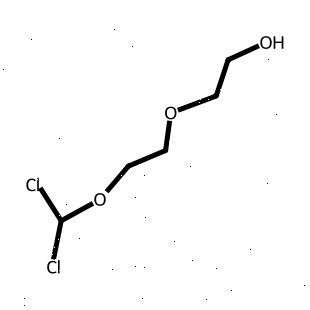 OCCOCCOC(Cl)Cl